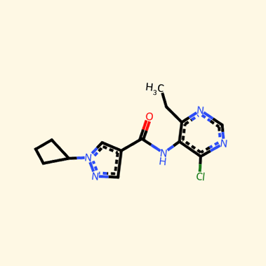 CCc1ncnc(Cl)c1NC(=O)c1cnn(C2CCC2)c1